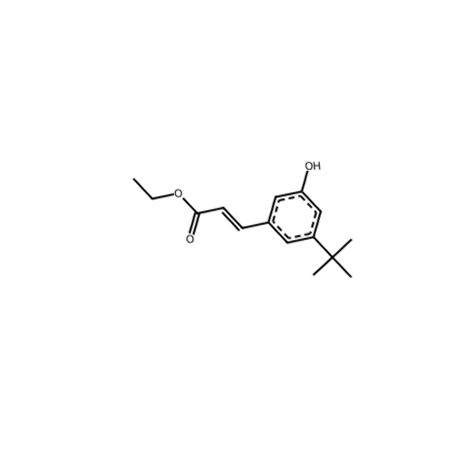 CCOC(=O)/C=C/c1cc(O)cc(C(C)(C)C)c1